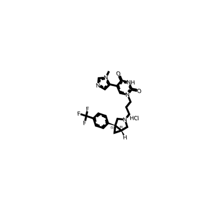 Cl.Cn1cncc1-c1cn(CCCN2C[C@@H]3C[C@]3(c3ccc(C(F)(F)F)cc3)C2)c(=O)[nH]c1=O